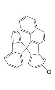 Clc1ccc2c(c1)-c1ccc3ccccc3c1C21c2ccccc2-c2ccccc21